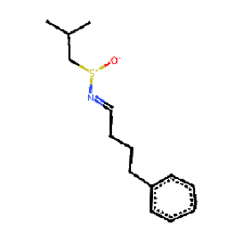 CC(C)C[S+]([O-])N=CCCCc1ccccc1